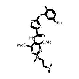 COc1nc(N(C)CCN(C)C)nc(OC)c1NC(=O)c1coc(Oc2cc(C(C)(C)C)ccc2C)n1